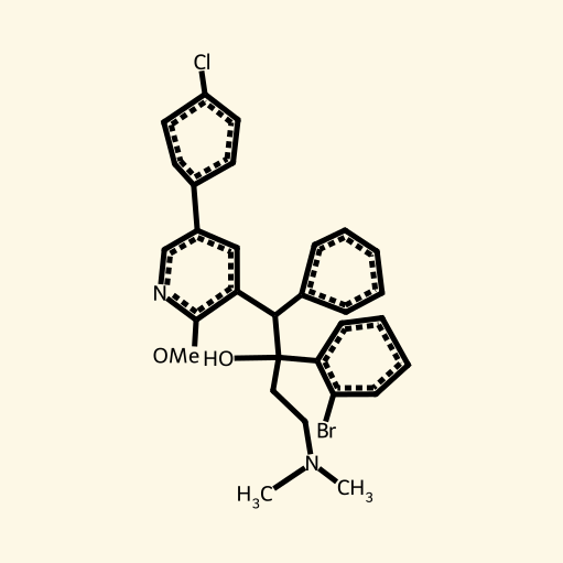 COc1ncc(-c2ccc(Cl)cc2)cc1C(c1ccccc1)C(O)(CCN(C)C)c1ccccc1Br